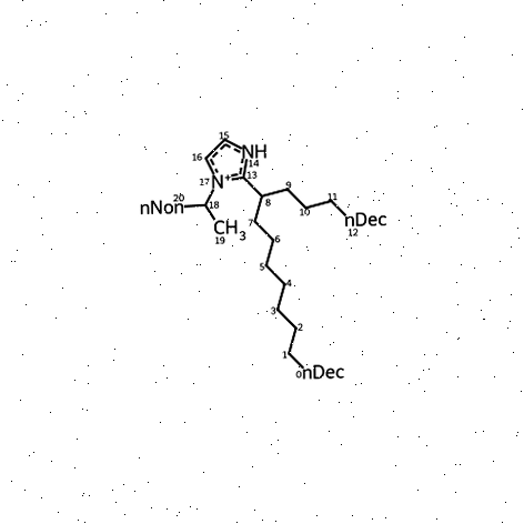 CCCCCCCCCCCCCCCCCC(CCCCCCCCCCCCC)c1[nH]cc[n+]1C(C)CCCCCCCCC